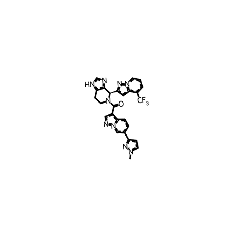 Cn1ccc(-c2ccc3c(C(=O)N4CCc5[nH]cnc5[C@H]4c4cc5c(C(F)(F)F)cccn5n4)cnn3c2)n1